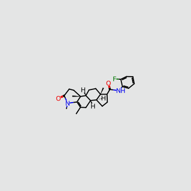 CC1=C2N(C)C(=O)CC[C@]2(C)[C@@H]2CC[C@]3(C)C(C(=O)Nc4ccccc4F)CC[C@H]3[C@@H]2C1